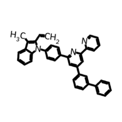 C=Cc1c(C)c2ccccc2n1-c1ccc(-c2cc(-c3cccc(-c4ccccc4)c3)cc(-c3ccccn3)n2)cc1